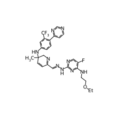 CCOCCNc1nc(N/N=C/C2=NCC(C)(Nc3ccc(-c4ccncn4)c(C(F)(F)F)c3)C=C2)ncc1F